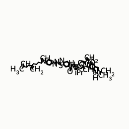 C=C(C)CCC(=C)CCCCN(C)c1ccc(/N=N/c2nc3ccc(C(=O)N4CCC(CC(C)(C)N/C(=C\C)C(=C)N5CCc6c5ccc5[nH]c(C(=C)C)cc65)=C4C(C)C)cc3s2)cc1